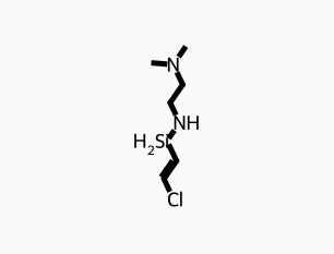 CN(C)CCN[SiH2]C=CCl